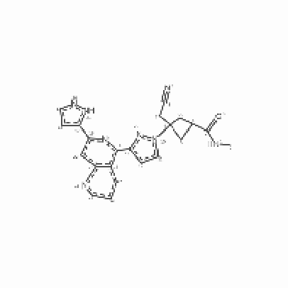 CNC(=O)C1CC(CC#N)(n2ccc(-c3nc(-c4ccn[nH]4)cc4ncccc34)n2)C1